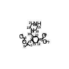 CC(C)(C)OC=O.COC(=O)c1cccc(CN2CCNCC2)c1